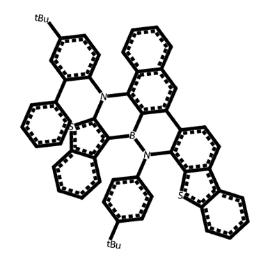 CC(C)(C)c1ccc(N2B3c4c(cc5ccccc5c4N(c4ccc(C(C)(C)C)cc4-c4ccccc4)c4sc5ccccc5c43)-c3ccc4c(sc5ccccc54)c32)cc1